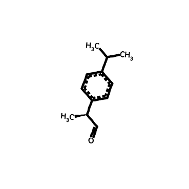 CC(C)c1ccc([C@H](C)C=O)cc1